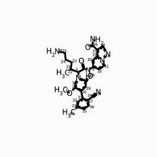 COc1cn(C(C(=O)Nc2ccn3ncc(C(N)=O)c3c2)C(C)CCCN)c(=O)cc1-c1cc(C)ccc1C#N